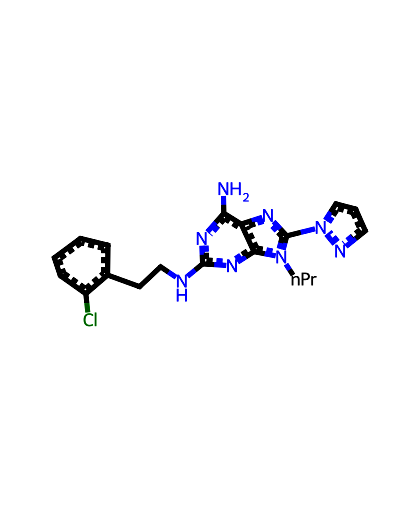 CCCn1c(-n2cccn2)nc2c(N)nc(NCCc3ccccc3Cl)nc21